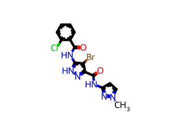 Cn1ccc(NC(=O)c2n[nH]c(NC(=O)c3ccccc3Cl)c2Br)n1